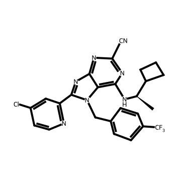 C[C@@H](Nc1nc(C#N)nc2nc(-c3cc(Cl)ccn3)n(Cc3ccc(C(F)(F)F)cc3)c12)C1CCC1